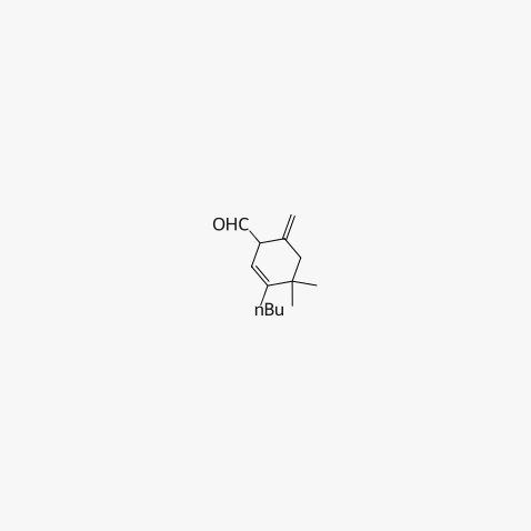 C=C1CC(C)(C)C(CCCC)=CC1C=O